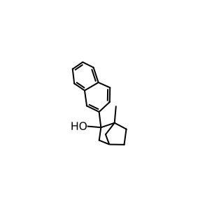 CC12CCC(C1)CC2(O)c1ccc2ccccc2c1